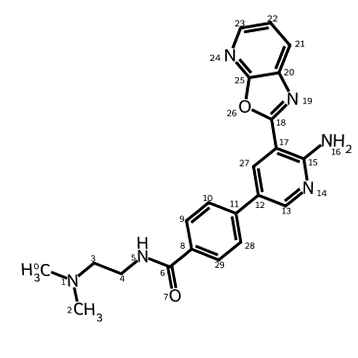 CN(C)CCNC(=O)c1ccc(-c2cnc(N)c(-c3nc4cccnc4o3)c2)cc1